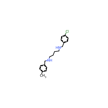 Cc1ccc(CNCCCCNCc2ccc(Cl)cc2)cc1